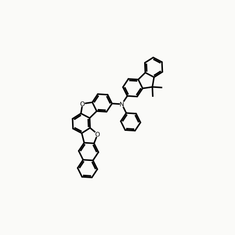 CC1(C)c2ccccc2-c2ccc(N(c3ccccc3)c3ccc4oc5ccc6c7cc8ccccc8cc7oc6c5c4c3)cc21